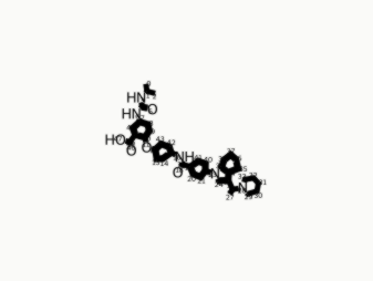 CC(C)NC(=O)Nc1ccc(Oc2ccc(NC(=O)c3ccc(-n4cc(C(C)N5CCCCC5)c5ccccc54)cc3)cc2)c(C(=O)O)c1